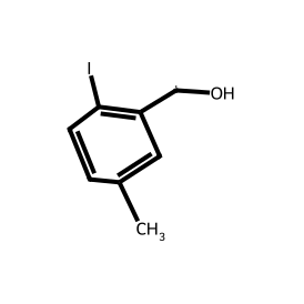 Cc1ccc(I)c([CH]O)c1